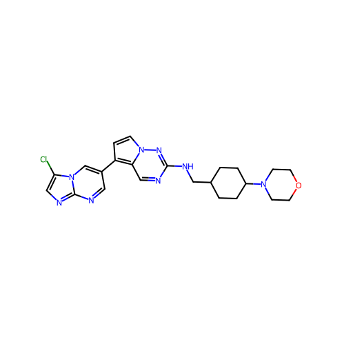 Clc1cnc2ncc(-c3ccn4nc(NCC5CCC(N6CCOCC6)CC5)ncc34)cn12